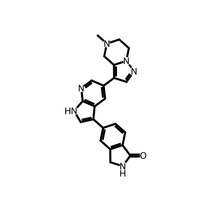 CN1CCn2ncc(-c3cnc4[nH]cc(-c5ccc6c(c5)CNC6=O)c4c3)c2C1